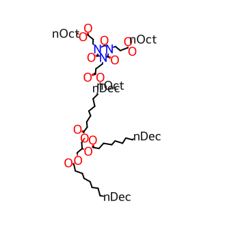 CCCCCCCCCCCCCCCCCC(=O)OCC(COC(=O)CCCCCCCCCCCCCCCCC)OC(=O)CCCCCCCCCCCCCCCCC.CCCCCCCCOC(=O)CCn1c(=O)n(CCC(=O)OCCCCCCCC)c(=O)n(CCC(=O)OCCCCCCCC)c1=O